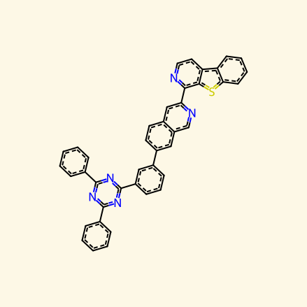 c1ccc(-c2nc(-c3ccccc3)nc(-c3cccc(-c4ccc5cc(-c6nccc7c6sc6ccccc67)ncc5c4)c3)n2)cc1